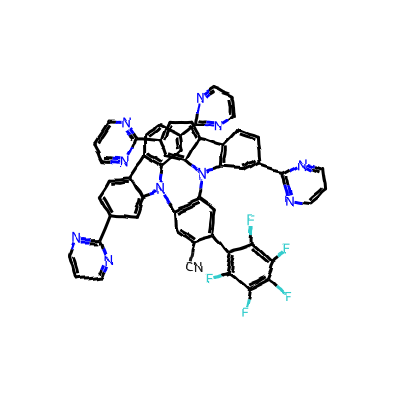 N#Cc1cc(-n2c3cc(-c4ncccn4)ccc3c3ccc(-c4ncccn4)cc32)c(-n2c3cc(-c4ncccn4)ccc3c3ccc(-c4ncccn4)cc32)cc1-c1c(F)c(F)c(F)c(F)c1F